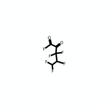 O=C(F)C(=O)C(F)(F)C(F)C(F)F